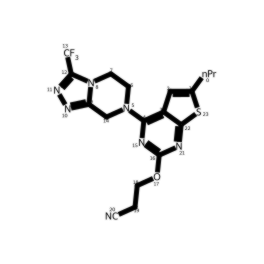 CCCc1cc2c(N3CCn4c(nnc4C(F)(F)F)C3)nc(OCCC#N)nc2s1